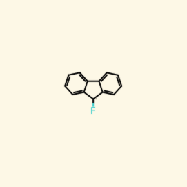 F[C]1c2ccccc2-c2ccccc21